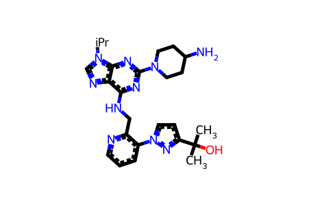 CC(C)n1cnc2c(NCc3ncccc3-n3ccc(C(C)(C)O)n3)nc(N3CCC(N)CC3)nc21